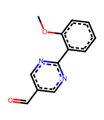 COc1ccccc1-c1ncc(C=O)cn1